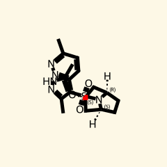 Cc1ccc(O[C@@H]2C[C@H]3CC[C@@H](C2)N3S(=O)(=O)c2c(C)n[nH]c2C)nn1